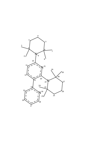 CC1(C)CCCC(C)(C)N1c1ccc(-c2ccccn2)c(N2C(C)(C)CCCC2(C)C)n1